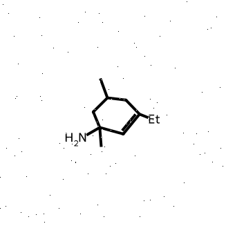 CCC1=CC(C)(N)CC(C)C1